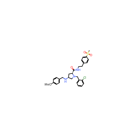 COc1ccc(CN[C@H]2C[C@@H](C(=O)NCCc3ccc(S(C)(=O)=O)cc3)N(Cc3ccccc3Cl)C2)cc1